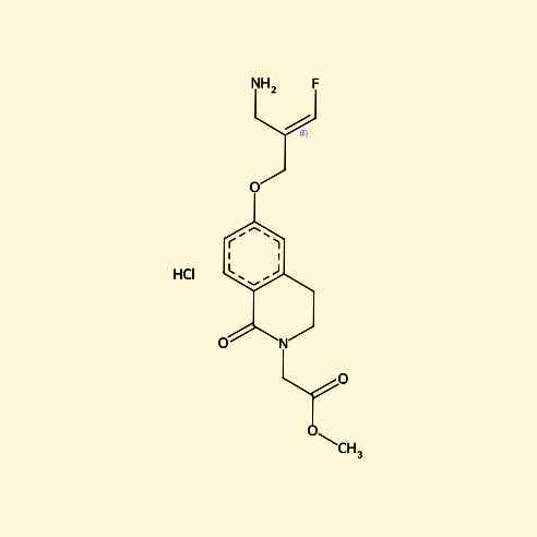 COC(=O)CN1CCc2cc(OC/C(=C/F)CN)ccc2C1=O.Cl